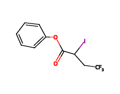 O=C(Oc1ccccc1)C(I)CC(F)(F)F